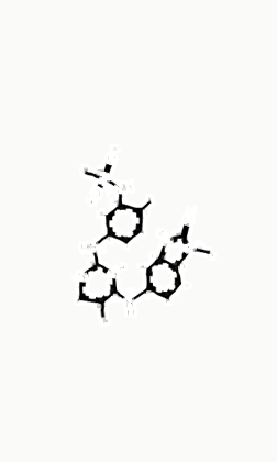 Cc1ccc(Nc2ncc(C)c(Nc3ccc4c(c3)oc(=O)n4C)n2)cc1NS(C)(=O)=O